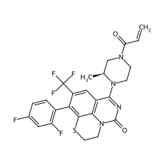 C=CC(=O)N1CCN(c2nc(=O)n3c4c(c(-c5ccc(F)cc5F)c(C(F)(F)F)cc24)SCC3)[C@@H](C)C1